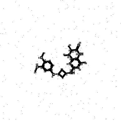 COc1ccc(O[C@H]2C[C@H](Nc3nc(C)c4c(n3)N(C)[C@@H](C)C(=O)N4)C2)cc1OC